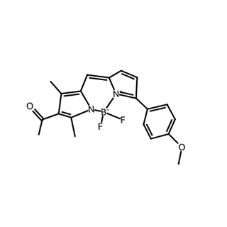 COc1ccc(C2=[N+]3C(=Cc4c(C)c(C(C)=O)c(C)n4[B-]3(F)F)C=C2)cc1